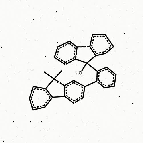 CC1(C)c2ccccc2-c2ccc(-c3ccccc3C3(O)c4ccccc4-c4ccccc43)cc21